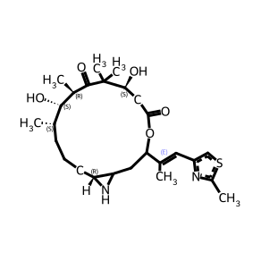 C/C(=C\c1csc(C)n1)C1CC2N[C@@H]2CCC[C@H](C)[C@H](O)[C@@H](C)C(=O)C(C)(C)[C@@H](O)CC(=O)O1